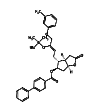 CC(C)(C)[Si](C)(C)OC(=CC[C@@H]1[C@H]2CC(=O)O[C@H]2C[C@H]1OC(=O)c1ccc(-c2ccccc2)cc1)COc1cccc(C(F)(F)F)c1